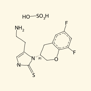 NCCC1=C[N]C(=S)N1[C@H]1COc2c(F)cc(F)cc2C1.O=S(=O)(O)O